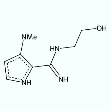 CNc1cc[nH]c1C(=N)NCCO